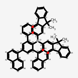 CC1(C)c2ccccc2-c2ccc(N(c3ccc4c(c3)C(C)(C)c3ccccc3-4)c3c(-c4ccccc4)cc(-c4cccc5ccccc45)cc3-c3cccc4ccccc34)cc21